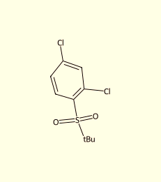 CC(C)(C)S(=O)(=O)c1ccc(Cl)cc1Cl